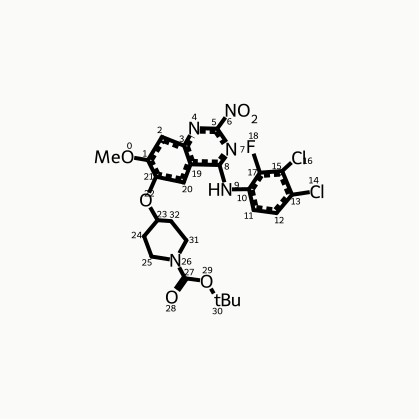 COc1cc2nc([N+](=O)[O-])nc(Nc3ccc(Cl)c(Cl)c3F)c2cc1OC1CCN(C(=O)OC(C)(C)C)CC1